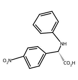 O=C(O)[C@@H](Nc1ccccc1)c1ccc([N+](=O)[O-])cc1